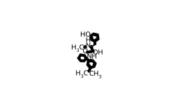 CC(=O)N[C@@H](Cc1cccc(O)c1)[C@H](O)CNC1(c2cccc(C(C)C)c2)CCCCC1